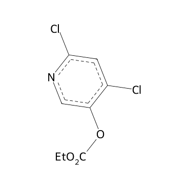 CCOC(=O)Oc1cnc(Cl)cc1Cl